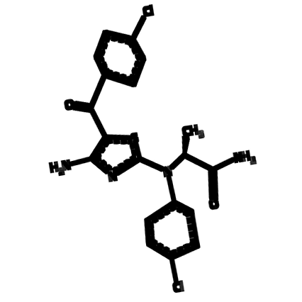 C[C@@H](C(N)=O)N(c1ccc(Cl)cc1)c1nc(N)c(C(=O)c2ccc(Cl)cc2)s1